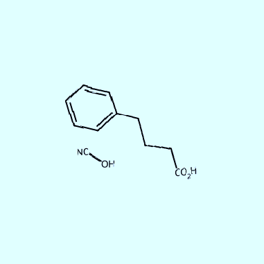 N#CO.O=C(O)CCCc1ccccc1